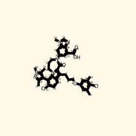 Cc1cc(OCCCc2c3n(c4c(-c5c(C)nn(C)c5C)c(Cl)ccc24)CCCN(c2cc(C(=O)O)c4ncn(C)c4c2)C3=O)cc(C)c1Cl